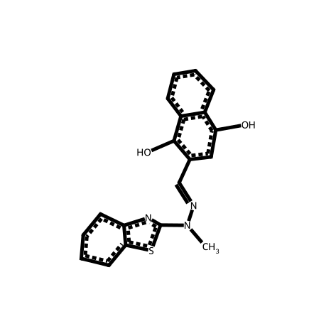 CN(/N=C/c1cc(O)c2ccccc2c1O)c1nc2ccccc2s1